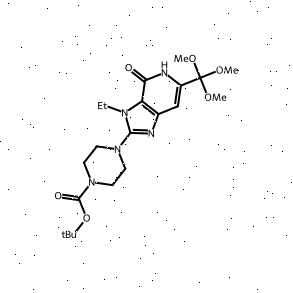 CCn1c(N2CCN(C(=O)OC(C)(C)C)CC2)nc2cc(C(OC)(OC)OC)[nH]c(=O)c21